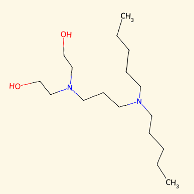 CCCCCN(CCCCC)CCCN(CCO)CCO